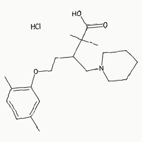 Cc1ccc(C)c(OCCC(CN2CCCCC2)C(C)(C)C(=O)O)c1.Cl